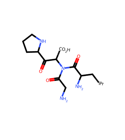 CC(C)CC(N)C(=O)N(C(=O)CN)C(C(=O)O)C(=O)C1CCCN1